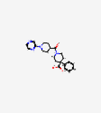 O=C(C1CCN(c2cnccn2)CC1)N1CCC(C(=O)O)(c2ccccc2)CC1